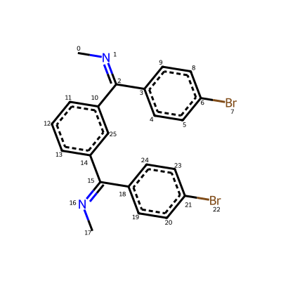 C/N=C(/c1ccc(Br)cc1)c1cccc(/C(=N/C)c2ccc(Br)cc2)c1